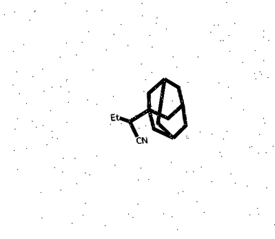 CCC(C#N)C12CC3CC(CC(C3)C1)C2